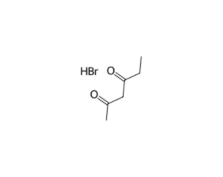 Br.CCC(=O)CC(C)=O